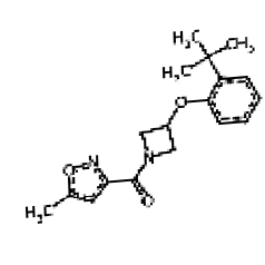 Cc1cc(C(=O)N2CC(Oc3ccccc3C(C)(C)C)C2)no1